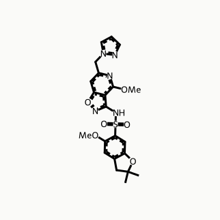 COc1cc2c(cc1S(=O)(=O)Nc1noc3cc(Cn4cccn4)nc(OC)c13)OC(C)(C)C2